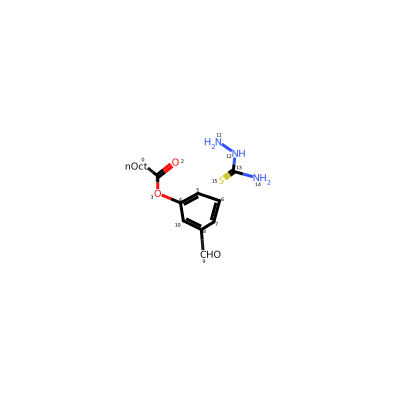 CCCCCCCCC(=O)Oc1cccc(C=O)c1.NNC(N)=S